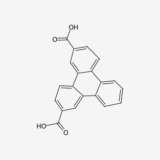 O=C(O)c1ccc2c(c1)c1ccccc1c1ccc(C(=O)O)cc12